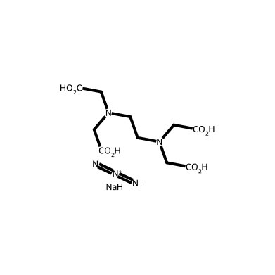 O=C(O)CN(CCN(CC(=O)O)CC(=O)O)CC(=O)O.[N-]=[N+]=[N-].[NaH]